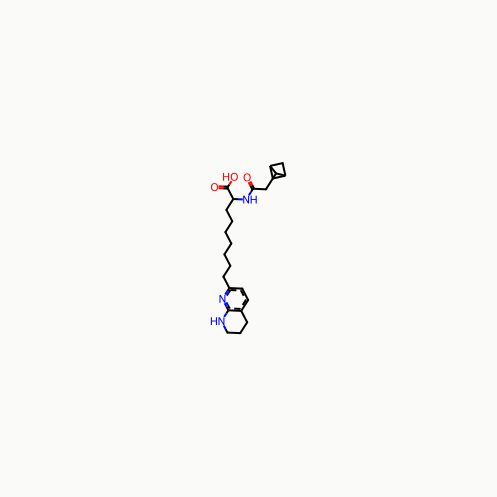 O=C(CC1C2CC1C2)NC(CCCCCCCc1ccc2c(n1)NCCC2)C(=O)O